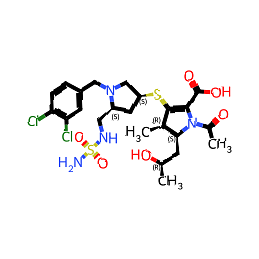 CC(=O)N1C(C(=O)O)=C(S[C@H]2C[C@@H](CNS(N)(=O)=O)N(Cc3ccc(Cl)c(Cl)c3)C2)[C@H](C)[C@@H]1C[C@@H](C)O